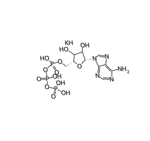 Nc1ncnc2c1ncn2[C@@H]1O[C@H](COP(=O)(O)OP(=O)(O)OP(=O)(O)O)C(O)C1O.[KH]